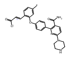 NC(=O)c1ccc(N2CCNCC2)nc1-c1ccc(Oc2cc(F)ccc2/C=C/C(=O)Cl)cc1